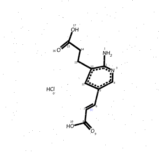 Cl.Nc1ncc(/C=C/C(=O)O)cc1CCC(=O)O